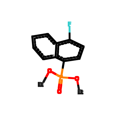 CCOP(=O)(OCC)c1ccc(F)c2ccccc12